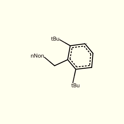 CCCCCCCCCCc1c(C(C)(C)C)[c]ccc1C(C)(C)C